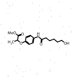 COC(=O)C(C)Oc1ccc(NC(=O)CCCCCO)cc1